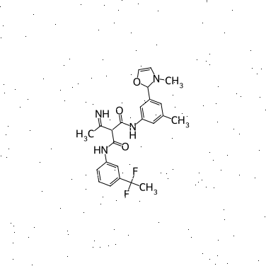 CC(=N)C(C(=O)Nc1cc(C)cc(C2OC=CN2C)c1)C(=O)Nc1cccc(C(C)(F)F)c1